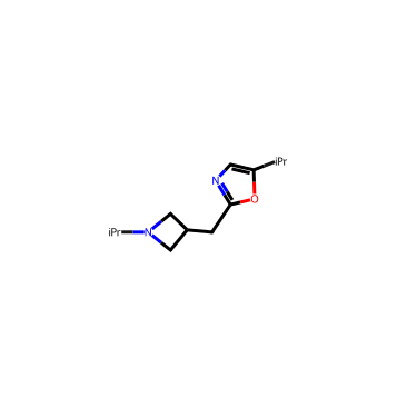 CC(C)c1cnc(CC2CN(C(C)C)C2)o1